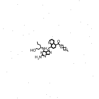 CCCC(CCO)Nc1nc(N)nc2cnn(Cc3ccc(C(=O)N4CC5(CN(C)C5)C4)c4cccnc34)c12